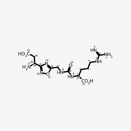 N=C(N)NCCC[C@H](NC(=O)NCc1nc([C@@H](N)CC(=O)O)no1)C(=O)O